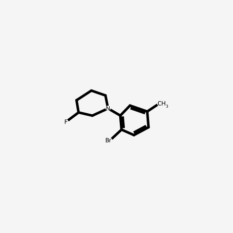 Cc1ccc(Br)c(N2CCCC(F)C2)c1